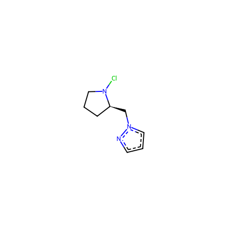 ClN1CCC[C@@H]1Cn1cccn1